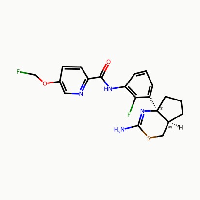 NC1=N[C@@]2(c3cccc(NC(=O)c4ccc(OCF)cn4)c3F)CCC[C@H]2CS1